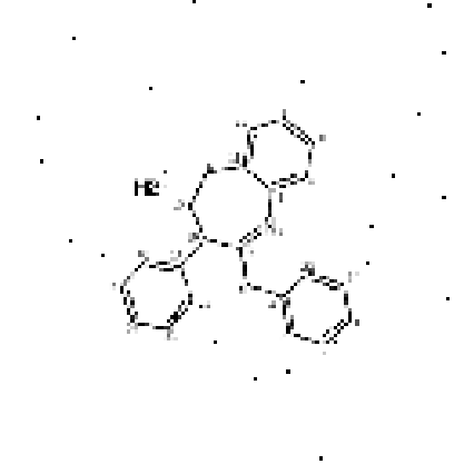 Br.c1ccc(CC2=Nc3ccccc3CCC2c2ccccc2)cc1